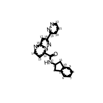 O=C(NC1Cc2ccccc2C1)c1ccnc2cc(-c3cccnn3)nn12